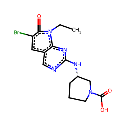 CCn1c(=O)c(Br)cc2cnc(N[C@H]3CCCN(C(=O)O)C3)nc21